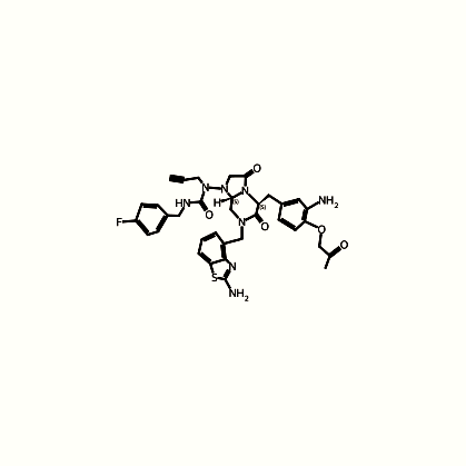 C#CCN(C(=O)NCc1ccc(F)cc1)N1CC(=O)N2[C@@H](Cc3ccc(OCC(C)=O)c(N)c3)C(=O)N(Cc3cccc4sc(N)nc34)C[C@@H]21